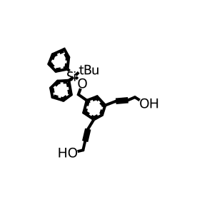 CC(C)(C)[Si](OCc1cc(C#CCO)cc(C#CCO)c1)(c1ccccc1)c1ccccc1